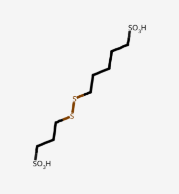 O=S(=O)(O)CCCCCSSCCCS(=O)(=O)O